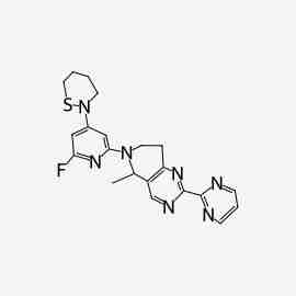 CC1c2cnc(-c3ncccn3)nc2CCN1c1cc(N2CCCCS2)cc(F)n1